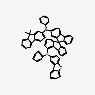 CC1(C)c2ccccc2-c2ccc(N(c3ccccc3)c3ccc4c(c3)C3(c5ccccc5-4)c4ccccc4-c4c(N(c5ccccc5)c5ccc6oc7ccccc7c6c5)cccc43)cc21